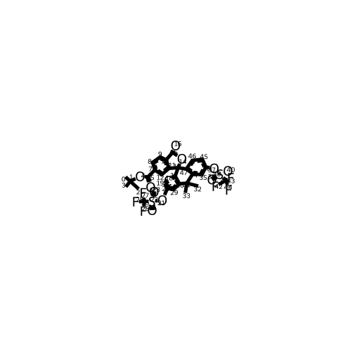 CC(C)(C)OC(=O)c1ccc2c(c1)C1(OC2=O)c2ccc(OS(=O)(=O)C(F)(F)F)cc2C(C)(C)c2cc(OS(=O)(=O)C(F)(F)F)ccc21